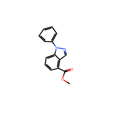 COC(=O)c1cccc2c1cnn2-c1ccccc1